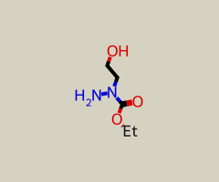 CCOC(=O)N(N)CCO